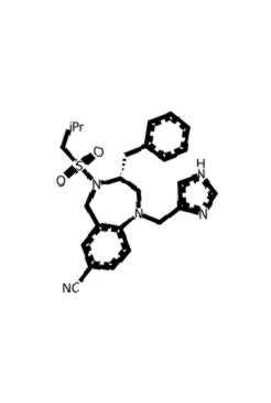 CC(C)CS(=O)(=O)N1Cc2cc(C#N)ccc2N(Cc2c[nH]cn2)C[C@H]1Cc1ccccc1